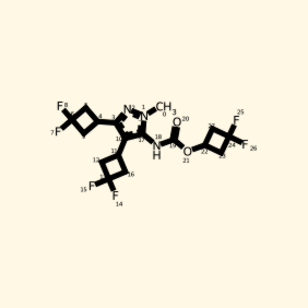 Cn1nc(C2CC(F)(F)C2)c(C2CC(F)(F)C2)c1NC(=O)OC1CC(F)(F)C1